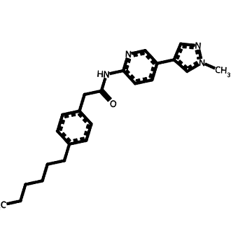 CCCCCCc1ccc(CC(=O)Nc2ccc(-c3cnn(C)c3)cn2)cc1